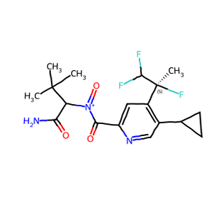 CC(C)(C)C(C(N)=O)[N+](=O)C(=O)c1cc([C@](C)(F)C(F)F)c(C2CC2)cn1